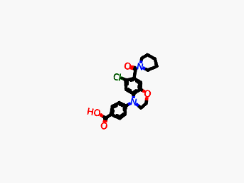 O=C(O)c1ccc(N2CCOc3cc(C(=O)N4CCCCC4)c(Cl)cc32)cc1